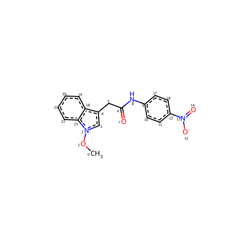 COn1cc(CC(=O)Nc2ccc([N+](=O)[O-])cc2)c2ccccc21